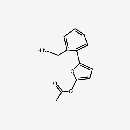 CC(=O)Oc1ccc(-c2ccccc2CN)o1